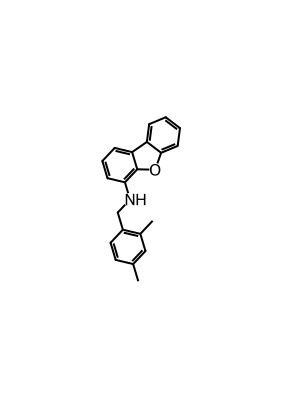 Cc1ccc(CNc2cccc3c2oc2ccccc23)c(C)c1